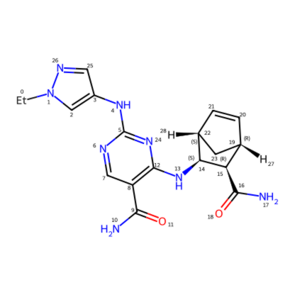 CCn1cc(Nc2ncc(C(N)=O)c(N[C@@H]3[C@H](C(N)=O)[C@H]4C=C[C@@H]3C4)n2)cn1